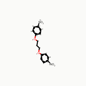 O=[N+]([O-])c1ccc(OCCCOc2ccc([N+](=O)[O-])cc2)cc1